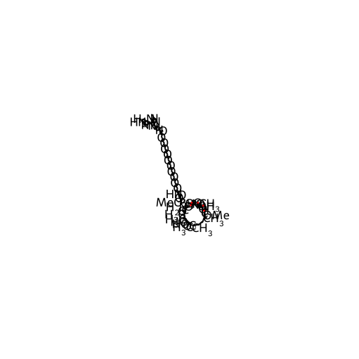 CO[C@H]1C[C@@H]2CC[C@@H](C)[C@@](O)(O2)C(=O)C(=O)N2CCCC[C@H]2C(=O)O[C@H]([C@H](N)C[C@@H]2CC[C@@H](OC(=O)NCCOCCOCCOCCOCCOCCOCCOCCOCCOCCOCCC(=O)N3CCC(n4nc(-c5cnc6[nH]ccc6c5)c5c(N)ncnc54)CC3)[C@H](OC)C2)CC(=O)[C@H](C)/C=C(\C)[C@@H](O)[C@@H](O)C(=O)[C@H](C)C[C@H](C)/C=C/C=C/C=C/1C